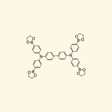 c1cc(N(c2ccc(B3OCCO3)cc2)c2ccc(-c3ccc(N(c4ccc(B5OCCO5)cc4)c4ccc(B5OCCO5)cc4)cc3)cc2)ccc1B1OCCO1